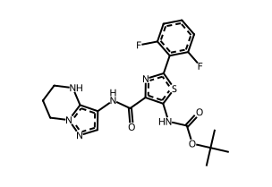 CC(C)(C)OC(=O)Nc1sc(-c2c(F)cccc2F)nc1C(=O)Nc1cnn2c1NCCC2